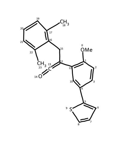 COc1ccc(-c2cccs2)cc1C(=C=O)Cc1c(C)cccc1C